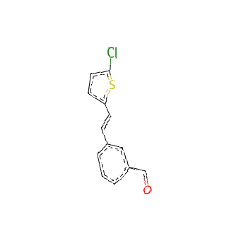 O=Cc1cccc(/C=C/c2ccc(Cl)s2)c1